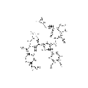 CCOC(=O)N1CCN(C(=O)[C@H](CCC(=O)O)NC(=O)c2cc(OCC(=O)N3CCC[C@H]3C(=O)NCC3CC3)n(-c3ccc(F)c(F)c3)n2)CC1